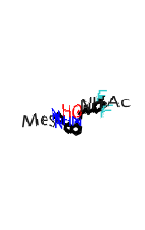 CSc1nccc(-c2ccc3c(c2)C(NCC(O)C(Cc2cc(F)cc(F)c2)NC(C)=O)CCC3)n1